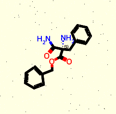 NC(=O)[C@@](N)(Cc1ccccc1)C(=O)OCc1ccccc1